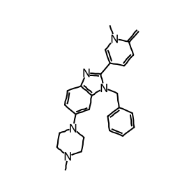 C=C1C=CC(c2nc3ccc(N4CCN(C)CC4)cc3n2Cc2ccccc2)=CN1C